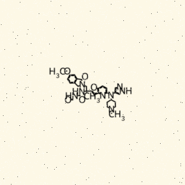 COc1ccc2c(c1)C(=O)N(C[C@](C)(NC(=O)NC=O)c1cc3nc(N(c4cn[nH]c4)C4CCN(C)CC4)ccc3o1)C2